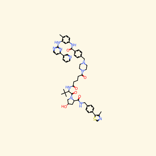 Cc1ccc(NC(=O)c2ccc(CN3CCN(C(=O)CCCC(=O)NC(C(=O)N4CC(O)CC4C(=O)NCc4ccc(-c5scnc5C)cc4)C(C)(C)C)CC3)cc2)cc1Nc1nccc(-c2cccnc2)n1